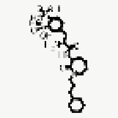 N[C@@H](Cc1ccc(P(=O)(O)O)c(P(=O)(O)O)c1)C(=O)N[C@H]1CCCCN(CCCC2CCCCC2)C1=O